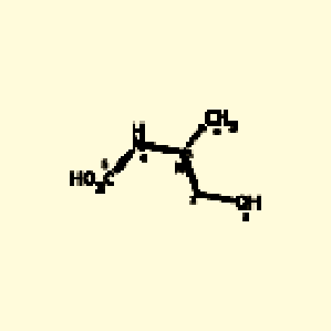 C[C@H](CO)NC(=O)O